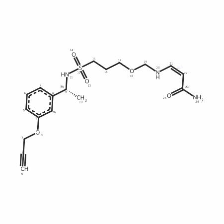 C#CCOc1cccc([C@@H](C)NS(=O)(=O)CCCOCN/C=C\C(N)=O)c1